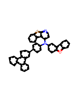 c1ccc2c(c1)oc1ccc(N(c3ccc(-c4ccc5c6ccccc6c6ccccc6c5c4)cc3)c3ccnc4sc5ccccc5c34)cc12